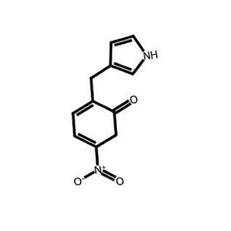 O=C1CC([N+](=O)[O-])=CC=C1Cc1cc[nH]c1